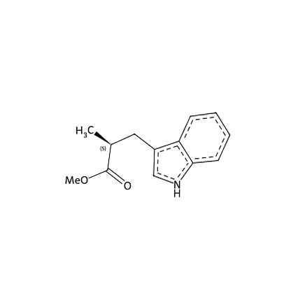 COC(=O)[C@@H](C)Cc1c[nH]c2ccccc12